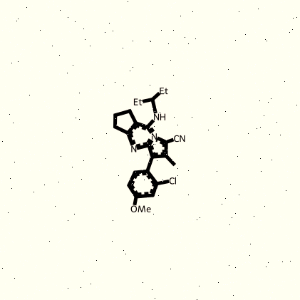 CCC(CC)Nc1c2c(nc3c(-c4ccc(OC)cc4Cl)c(C)c(C#N)n13)CCC2